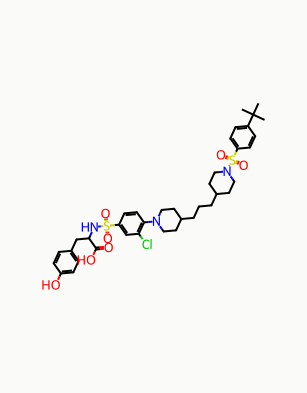 CC(C)(C)c1ccc(S(=O)(=O)N2CCC(CCCC3CCN(c4ccc(S(=O)(=O)NC(Cc5ccc(O)cc5)C(=O)O)cc4Cl)CC3)CC2)cc1